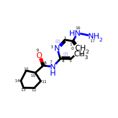 C=C(/C=N\C(=C/C)NC(=O)C1CCCCC1)NN